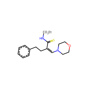 CCOC(=O)NC(=S)C(=CN1CCOCC1)CCc1ccccc1